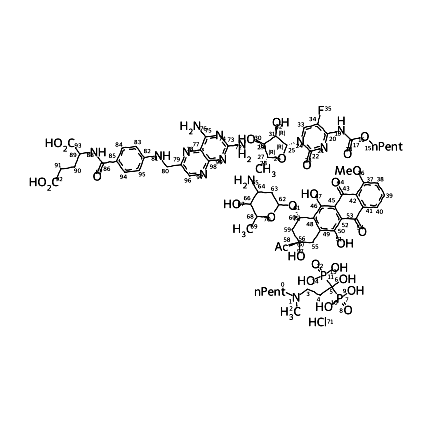 CCCCCN(C)CCC(O)(P(=O)(O)O)P(=O)(O)O.CCCCCOC(=O)Nc1nc(=O)n([C@@H]2O[C@H](C)[C@@H](O)[C@H]2O)cc1F.COc1cccc2c1C(=O)c1c(O)c3c(c(O)c1C2=O)C[C@@](O)(C(C)=O)C[C@@H]3OC1CC(N)C(O)C(C)O1.Cl.Nc1nc(N)c2nc(CNc3ccc(C(=O)NC(CCC(=O)O)C(=O)O)cc3)cnc2n1